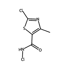 Cc1nc(Cl)sc1C(=O)NCl